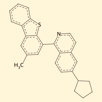 Cc1cc(-c2nccc3cc(C4CCCC4)ccc23)c2sc3ccccc3c2c1